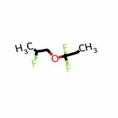 CCC(F)(F)OCC(C)F